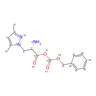 Cc1cc(C)n(C[C@H](N)C(=O)OC(=O)OCc2ccccc2)n1